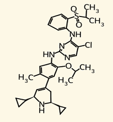 Cc1cc(Nc2ncc(Cl)c(Nc3ccccc3S(=O)(=O)C(C)C)n2)c(OC(C)C)cc1C1=C[C@H](C2CC2)N[C@H](C2CC2)C1